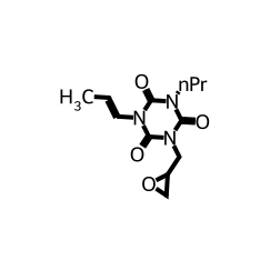 CC=Cn1c(=O)n(CCC)c(=O)n(CC2CO2)c1=O